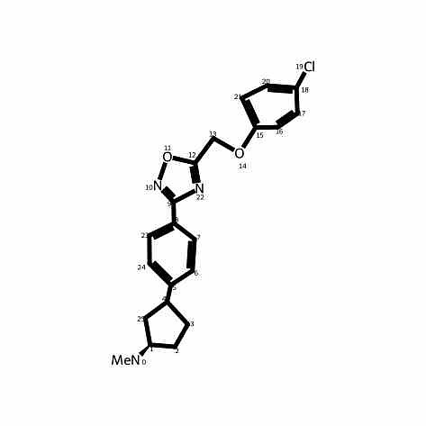 CN[C@@H]1CCC(c2ccc(-c3noc(COc4ccc(Cl)cc4)n3)cc2)C1